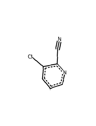 N#Cc1nc[c]cc1Cl